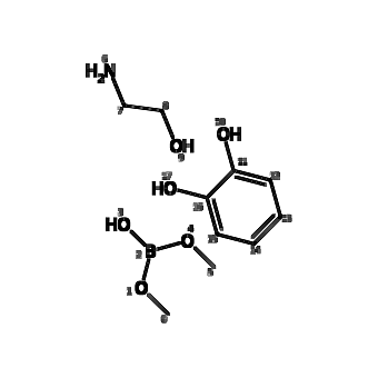 COB(O)OC.NCCO.Oc1ccccc1O